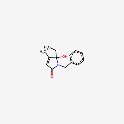 CCC1(O)C(C)=CC(=O)N1Cc1ccccc1